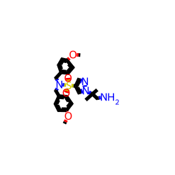 COc1ccc(CN(Cc2ccc(OC)cc2)S(=O)(=O)c2cnn(C(C)(C)CN)c2)cc1